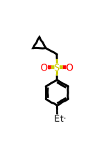 C[CH]c1ccc(S(=O)(=O)CC2CC2)cc1